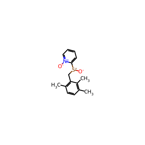 Cc1ccc(C)c(C[S+]([O-])c2cccc[n+]2[O-])c1C